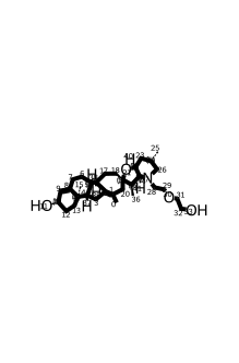 CC1=C2C[C@H]3[C@@H](CCC4=C[C@@H](O)CC[C@@]43C)[C@@H]2CC[C@@]2(C1)O[C@@H]1C[C@H](C)CN(CCOCCO)[C@H]1[C@H]2C